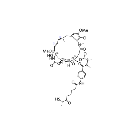 COc1cc2cc(c1Cl)N(C)C(=O)C[C@H](OC(=O)[C@H](C)N(C)C(=O)c1ccc(NC(=O)CCCCC(=O)C(C)S)cc1)[C@]1(C)O[C@H]1[C@H](C)[C@@H]1C[C@@](O)(NC(=O)O1)[C@H](OC)/C=C/C=C(\C)C2